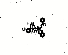 NCC[C@H](NC(=O)[C@@H]1Cc2ccccc2CN1C(=O)CCC(=O)c1ccccc1)C(=O)Nc1cc(Cl)ccc1F